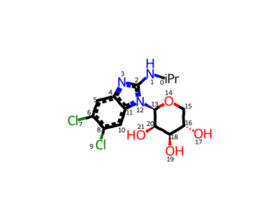 CC(C)Nc1nc2cc(Cl)c(Cl)cc2n1[C@H]1OC[C@H](O)[C@@H](O)[C@H]1O